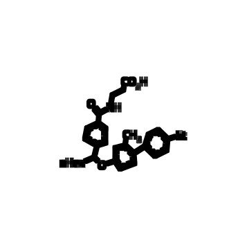 CCCCCCC(Oc1ccc(-c2ccc(CC)cc2)c(C)c1)c1ccc(C(=O)NCCC(=O)O)cc1